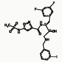 CS(=O)(=O)Nc1cc(C(=O)N[C@@H](Cc2cc(F)cc(F)c2)[C@@H](O)CNCc2cccc(I)c2)no1